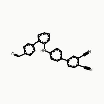 N#Cc1ccc(-c2ccc(Nc3ccccc3-c3ccc(C=O)cc3)cc2)cc1C#N